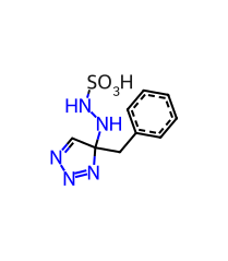 O=S(=O)(O)NNC1(Cc2ccccc2)C=NN=N1